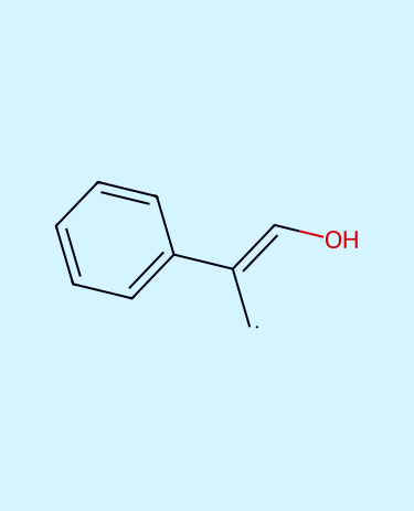 [CH2]C(=CO)c1ccccc1